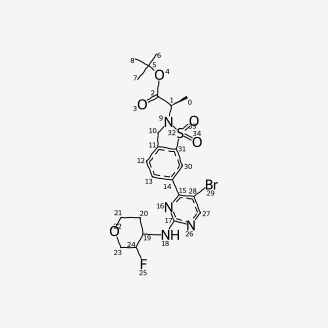 C[C@H](C(=O)OC(C)(C)C)N1Cc2ccc(-c3nc(NC4CCOCC4F)ncc3Br)cc2S1(=O)=O